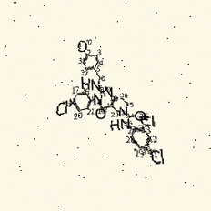 COc1ccc(CNc2nc3c(c(=O)n2-c2ccc(Cl)cc2)CN(C(=O)Nc2ccc(Cl)cc2Cl)CC3)cc1